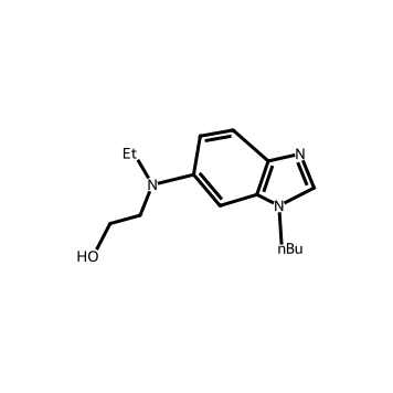 CCCCn1cnc2ccc(N(CC)CCO)cc21